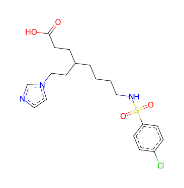 O=C(O)CCC(CCCCNS(=O)(=O)c1ccc(Cl)cc1)CCn1ccnc1